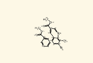 COC(=O)c1cccnc1.COC(=O)c1cnc2c(C)c(Br)ccc2c1